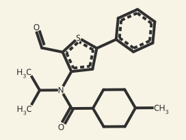 CC1CCC(C(=O)N(c2cc(-c3ccccc3)sc2C=O)C(C)C)CC1